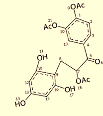 CC(=O)Oc1ccc(C(=O)C(Cc2c(O)cc(O)cc2O)OC(C)=O)cc1OC(C)=O